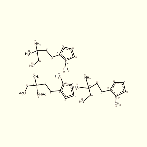 CC(=O)N[C@](C)(CCc1cccn1C)COC(C)=O.Cn1cccc1CCC(C)(N)CO.Cn1cccc1CCC(C)(N)CO